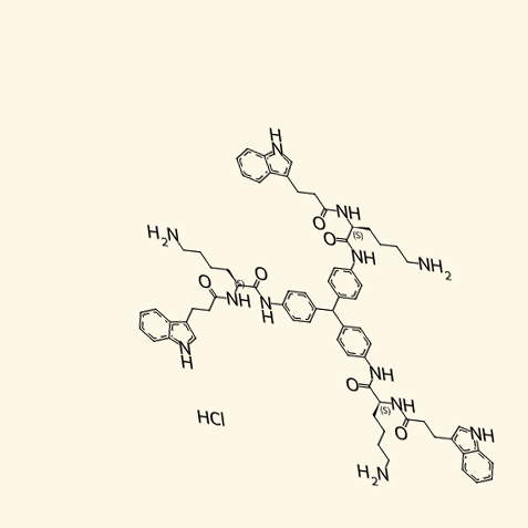 Cl.NCCCC[C@H](NC(=O)CCc1c[nH]c2ccccc12)C(=O)Nc1ccc(C(c2ccc(NC(=O)[C@H](CCCCN)NC(=O)CCc3c[nH]c4ccccc34)cc2)c2ccc(NC(=O)[C@H](CCCCN)NC(=O)CCc3c[nH]c4ccccc34)cc2)cc1